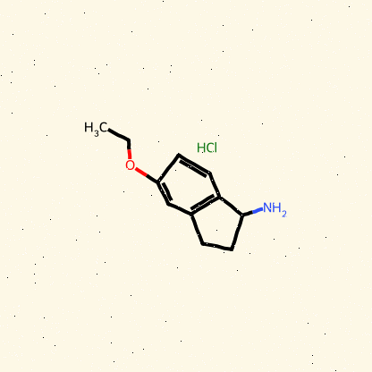 CCOc1ccc2c(c1)CCC2N.Cl